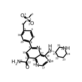 CS(=O)(=O)Cc1ccc(-c2cc(C(N)=O)c3ncnc(N[C@H]4CCCNC4)c3n2)cc1